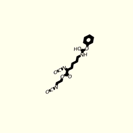 O=C=NCCOC(=O)C(CCCCNC(O)Oc1ccccc1)N=C=O